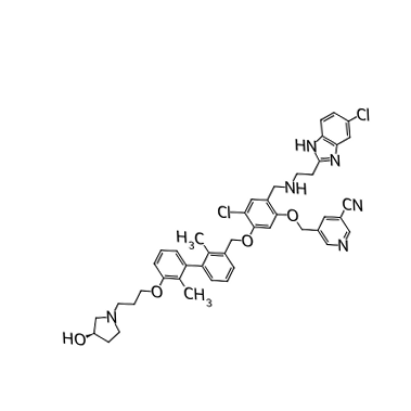 Cc1c(COc2cc(OCc3cncc(C#N)c3)c(CNCCc3nc4cc(Cl)ccc4[nH]3)cc2Cl)cccc1-c1cccc(OCCCN2CC[C@@H](O)C2)c1C